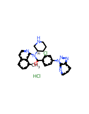 Cc1cccc2ccnc(N(C(=O)c3ccc(-n4nnc5cccnc54)cc3Cl)[C@@H]3CCCNC3)c12.Cl